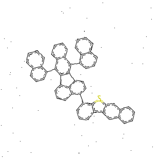 c1ccc2cc3c(cc2c1)sc1c(-c2ccc4c5c(cccc25)-c2c-4c(-c4cccc5ccccc45)c4ccccc4c2-c2cccc4ccccc24)cccc13